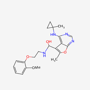 COc1ccccc1OCCNC(O)c1c(C)oc2ncnc(NC3(C)CC3)c12